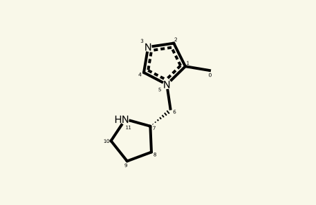 Cc1cncn1C[C@@H]1CCCN1